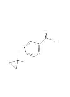 ClC1(Cl)CC1.NC(=O)c1ccccc1